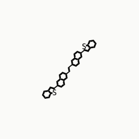 C(=C\c1ccc2cc(-c3cc4ccccc4s3)ccc2c1)/c1ccc2cc(-c3cc4ccccc4s3)ccc2c1